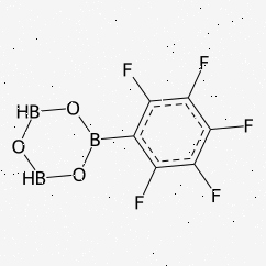 Fc1c(F)c(F)c(B2OBOBO2)c(F)c1F